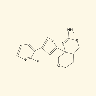 NC1=NC2(c3cc(-c4cccnc4F)cs3)COCCC2CS1